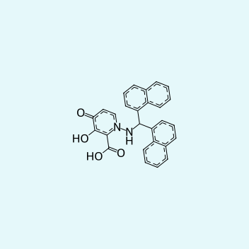 O=C(O)c1c(O)c(=O)ccn1NC(c1cccc2ccccc12)c1cccc2ccccc12